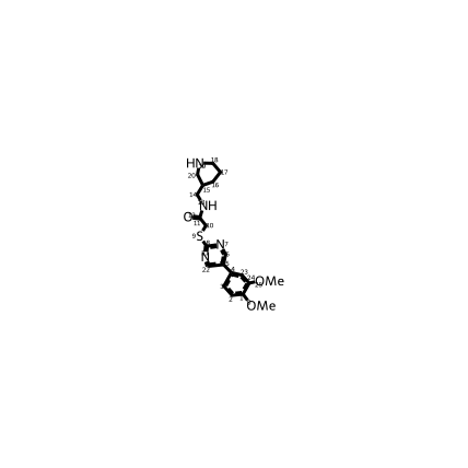 COc1ccc(-c2cnc(SCC(=O)NCC3CCCNC3)nc2)cc1OC